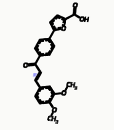 COc1ccc(/C=C/C(=O)c2ccc(-c3ccc(C(=O)O)o3)cc2)cc1OC